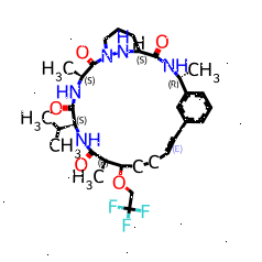 CC(C)[C@@H]1NC(=O)[C@H](C)C(OCC(F)(F)F)CC/C=C/c2cccc(c2)[C@@H](C)NC(=O)[C@@H]2CCCN(N2)C(=O)[C@H](C)NC1=O